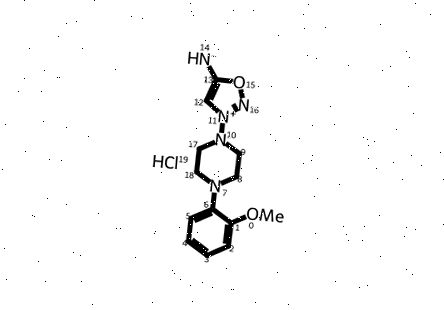 COc1ccccc1N1CCN([n+]2cc([NH-])on2)CC1.Cl